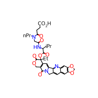 CCCN(CC(=O)NC(C(=O)OC1(CC)C(=O)OCc2c1cc1n(c2=O)Cc2cc3cc4c(cc3nc2-1)OCO4)C(C)C)C(=O)CCC(=O)O